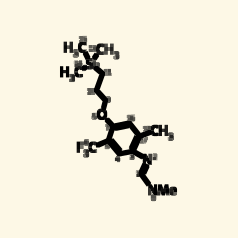 CNC=Nc1cc(C(F)(F)F)c(OCCC[Si](C)(C)C)cc1C